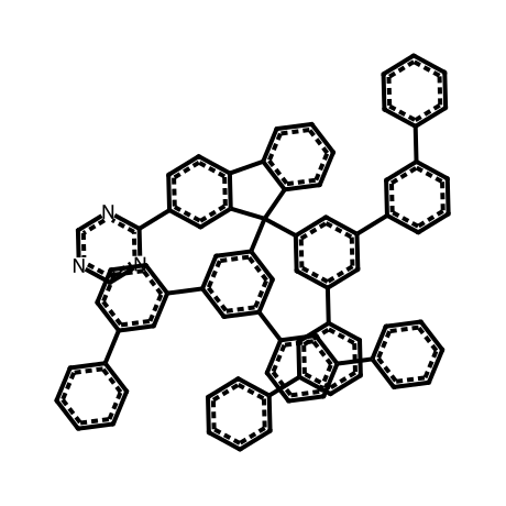 c1ccc(-c2cccc(-c3cc(-c4cccc(-c5ccccc5)c4)cc(C4(c5cc(-c6cccc(-c7ccccc7)c6)cc(-c6cccc(-c7ccccc7)c6)c5)c5ccccc5-c5ccc(-c6ncncn6)cc54)c3)c2)cc1